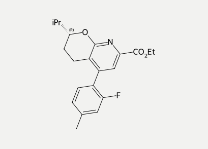 CCOC(=O)c1cc(-c2ccc(C)cc2F)c2c(n1)O[C@@H](C(C)C)CC2